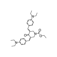 CCOC(=O)N1CC(=Cc2ccc(N(CC)CC)cc2)C(=O)C(=Cc2ccc(N(CC)CC)cc2)C1